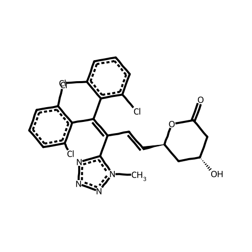 Cn1nnnc1C(/C=C/[C@@H]1C[C@@H](O)CC(=O)O1)=C(c1c(Cl)cccc1Cl)c1c(Cl)cccc1Cl